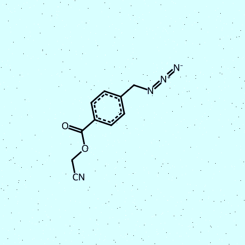 N#CCOC(=O)c1ccc(CN=[N+]=[N-])cc1